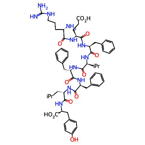 CC(C)C[C@H](NC(=O)[C@H](Cc1ccccc1)NC(=O)[C@H](Cc1ccccc1)NC(=O)[C@@H](NC(=O)[C@H](Cc1ccccc1)NC(=O)[C@H](CCC(=O)O)NC(=O)[C@@H](N)CCCNC(=N)N)C(C)C)C(=O)N[C@@H](Cc1ccc(O)cc1)C(=O)O